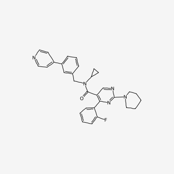 O=C(c1cnc(N2CCCCC2)nc1-c1ccccc1F)N(Cc1cccc(-c2ccncc2)c1)C1CC1